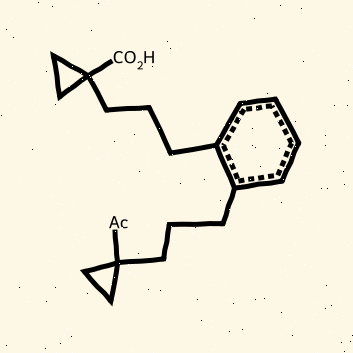 CC(=O)C1(CCCc2ccccc2CCCC2(C(=O)O)CC2)CC1